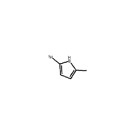 [3H]C1=CC=C(C)B1